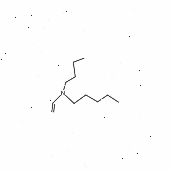 C=CN(CCCC)CCCCC